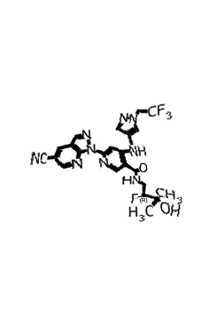 CC(C)(O)[C@H](F)CNC(=O)c1cnc(-n2ncc3cc(C#N)cnc32)cc1Nc1cnn(CC(F)(F)F)c1